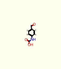 O=Cc1ccc(NC(=O)O)cc1